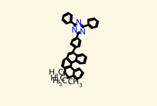 CC1(C)c2ccccc2-c2c(ccc3cc(-c4ccc(-c5nc(-c6ccccc6)nc(-c6ccccc6)n5)cc4)c4ccccc4c23)C1(C)C